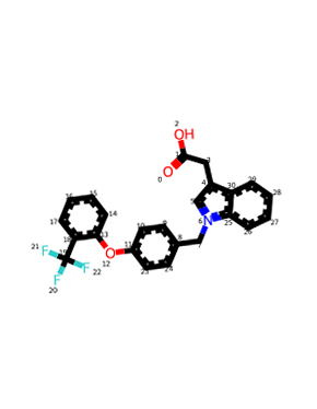 O=C(O)Cc1cn(Cc2ccc(Oc3ccccc3C(F)(F)F)cc2)c2ccccc12